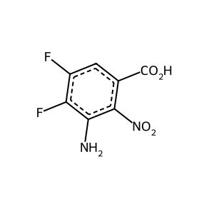 Nc1c(F)c(F)cc(C(=O)O)c1[N+](=O)[O-]